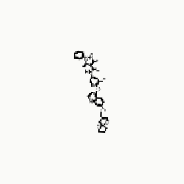 C=C1C(C(=O)Nc2ccc(Oc3ccnc4cc(OCC5COC6(CCCO6)C5)ccc34)c(F)c2)=C(C)N(C)N1c1ccccc1